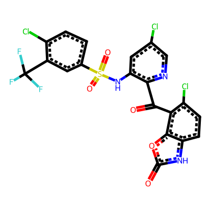 O=C(c1ncc(Cl)cc1NS(=O)(=O)c1ccc(Cl)c(C(F)(F)F)c1)c1c(Cl)ccc2[nH]c(=O)oc12